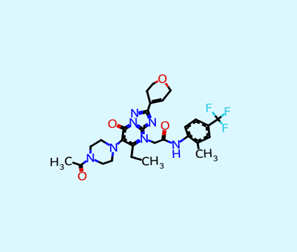 CCc1c(N2CCN(C(C)=O)CC2)c(=O)n2nc(C3=CCOCC3)nc2n1CC(=O)Nc1ccc(C(F)(F)F)cc1C